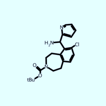 CC(C)(C)OC(=O)N1CCc2ccc(Cl)c(C(N)c3ccccn3)c2CC1